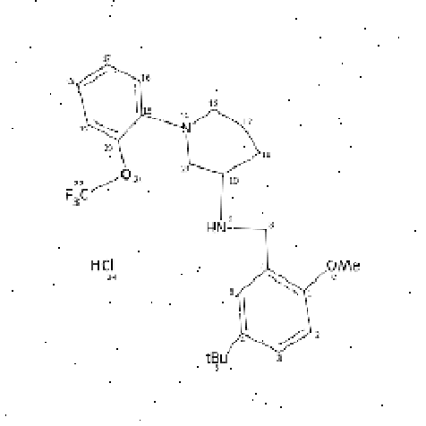 COc1ccc(C(C)(C)C)cc1CNC1CCCN(c2ccccc2OC(F)(F)F)C1.Cl